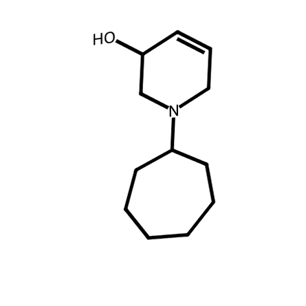 OC1C=CCN(C2CCCCCC2)C1